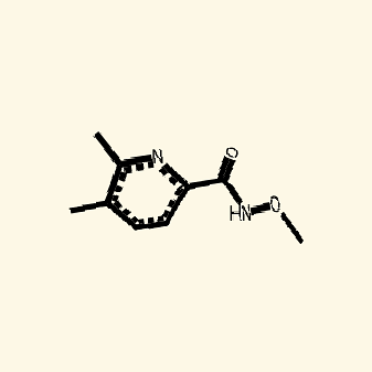 CONC(=O)c1ccc(C)c(C)n1